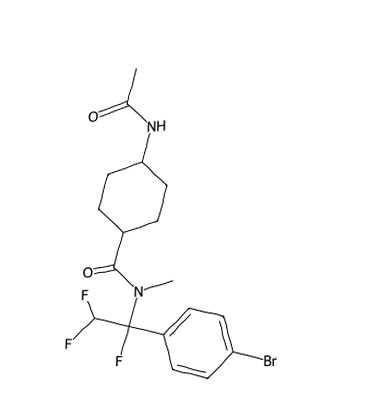 CC(=O)NC1CCC(C(=O)N(C)C(F)(c2ccc(Br)cc2)C(F)F)CC1